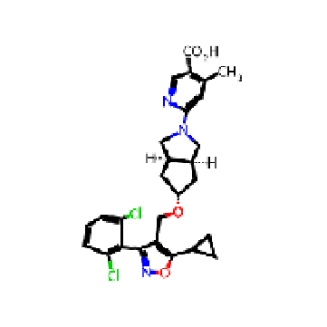 Cc1cc(N2C[C@H]3C[C@H](OCc4c(-c5c(Cl)cccc5Cl)noc4C4CC4)C[C@H]3C2)ncc1C(=O)O